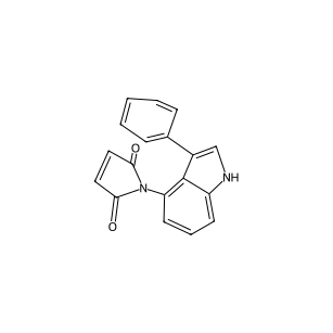 O=C1C=CC(=O)N1c1cccc2[nH]cc(-c3ccccc3)c12